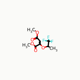 COC(=O)/C=C(/OC(C)C(F)(F)F)C(=O)OC